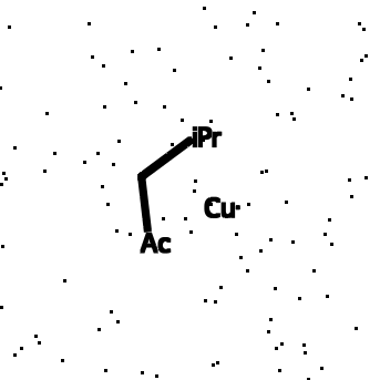 CC(=O)CC(C)C.[Cu]